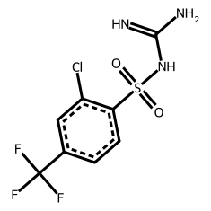 N=C(N)NS(=O)(=O)c1ccc(C(F)(F)F)cc1Cl